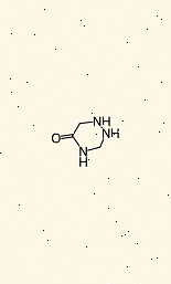 O=C1CNNCN1